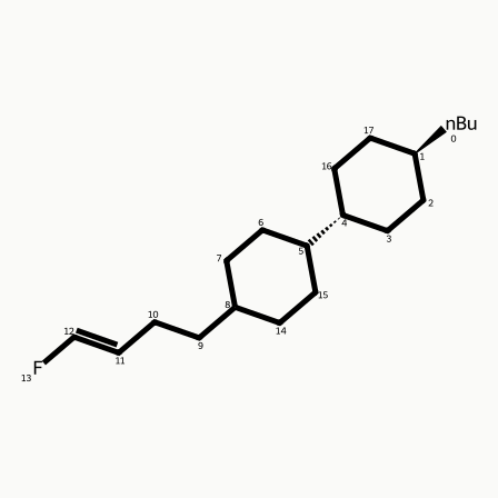 CCCC[C@H]1CC[C@H](C2CCC(CC/C=C/F)CC2)CC1